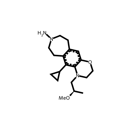 CO[C@H](C)CN1CCOc2cc3c(c(C4CC4)c21)CCN(N)CC3